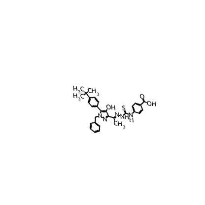 C/C(=N\NC(=S)Nc1ccc(C(=O)O)cc1)c1nn(Cc2ccccc2)c(-c2ccc(C(C)(C)C)cc2)c1O